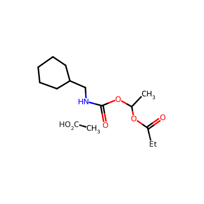 CC(=O)O.CCC(=O)OC(C)OC(=O)NCC1CCCCC1